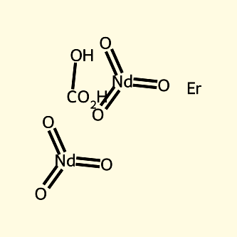 O=C(O)O.[Er].[O]=[Nd](=[O])=[O].[O]=[Nd](=[O])=[O]